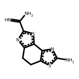 N=C(N)c1nc2c(s1)-c1nc(N)sc1CC2